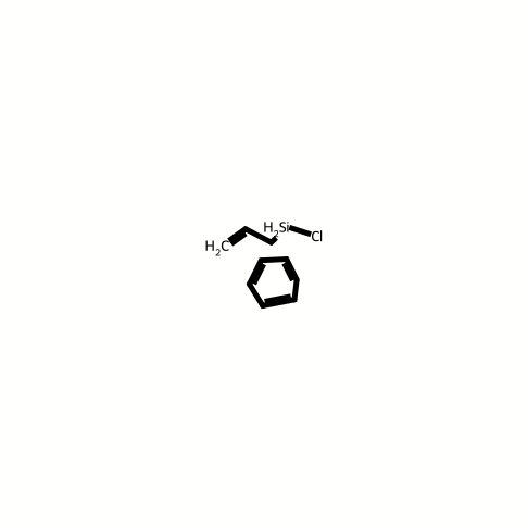 C=CC[SiH2]Cl.c1ccccc1